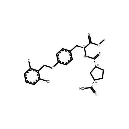 COC(=O)[C@H](Cc1ccc(OCc2c(Cl)cccc2Cl)cc1)NC(=O)[C@@H]1CC[C@H](C(=O)O)C1